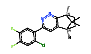 CC1(C)[C@H]2CC[C@]1(C)c1nnc(-c3cc(F)c(F)cc3Cl)cc12